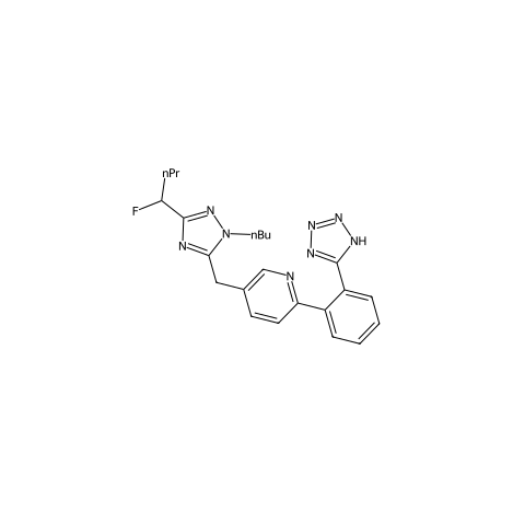 CCCCn1nc(C(F)CCC)nc1Cc1ccc(-c2ccccc2-c2nnn[nH]2)nc1